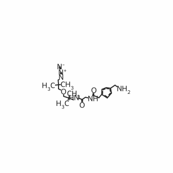 CC(C)(CN=[N+]=[N-])COCC(C)(C)CNC(=O)CNC(=O)Cc1ccc(CN)cc1